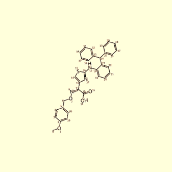 COc1ccc(CON=C(C(=O)O)c2csc(Nc3ccccc3C(c3ccccc3)c3ccccc3)n2)cc1